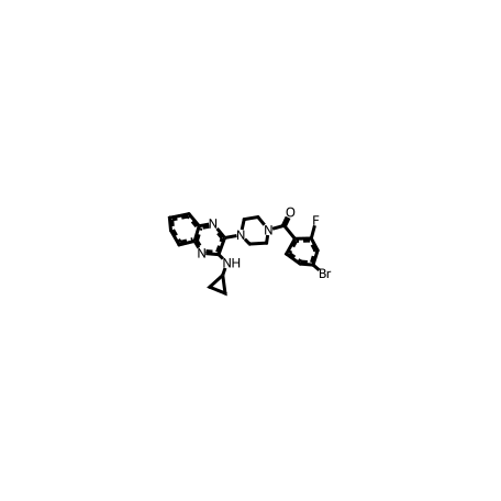 O=C(c1ccc(Br)cc1F)N1CCN(c2nc3ccccc3nc2NC2CC2)CC1